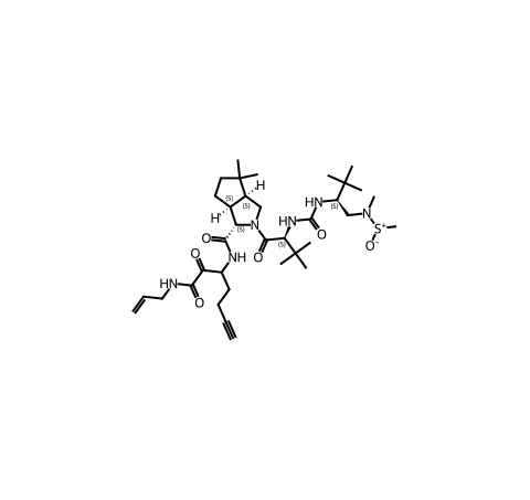 C#CCCC(NC(=O)[C@@H]1[C@H]2CCC(C)(C)[C@H]2CN1C(=O)[C@@H](NC(=O)N[C@H](CN(C)[S+](C)[O-])C(C)(C)C)C(C)(C)C)C(=O)C(=O)NCC=C